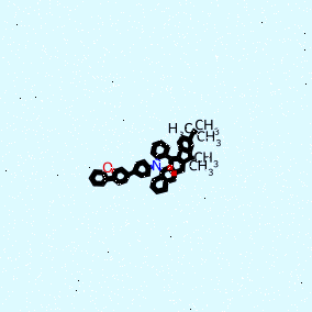 CC(C)(C)c1ccc2c(c1)C(C)(C)c1cccc(-c3ccccc3N(c3ccc(-c4ccc5c(c4)oc4ccccc45)cc3)c3cccc4ccccc34)c1-2